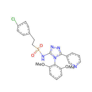 COc1cccc(OC)c1-n1c(NS(=O)(=O)CCc2ccc(Cl)cc2)nnc1-c1cccnc1